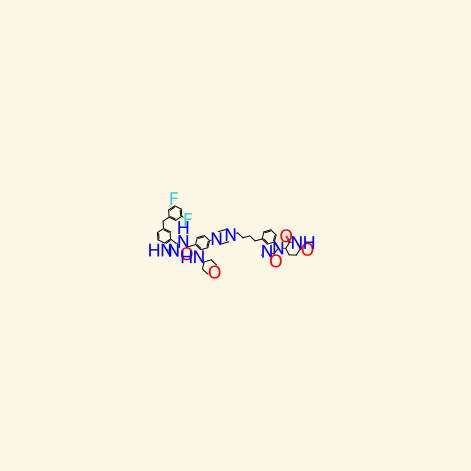 Cn1c(=O)n(C2CCC(=O)NC2=O)c2cccc(CCCCN3CCN(c4ccc(C(=O)Nc5n[nH]c6ccc(Cc7cc(F)cc(F)c7)cc56)c(NC5CCOCC5)c4)CC3)c21